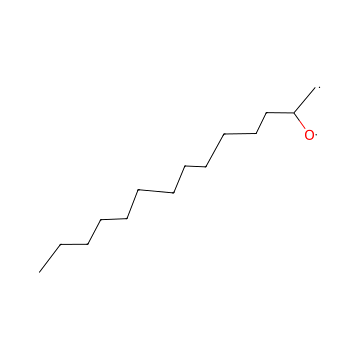 [CH2]C([O])CCCCCCCCCCCC